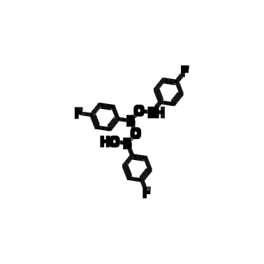 OB(OB(OBc1ccc(F)cc1)c1ccc(F)cc1)c1ccc(F)cc1